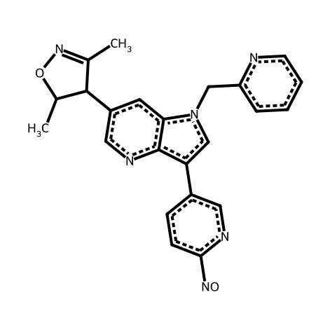 CC1=NOC(C)C1c1cnc2c(-c3ccc(N=O)nc3)cn(Cc3ccccn3)c2c1